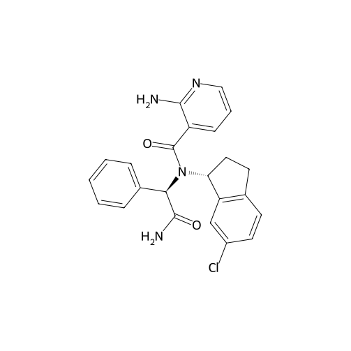 NC(=O)[C@@H](c1ccccc1)N(C(=O)c1cccnc1N)[C@@H]1CCc2ccc(Cl)cc21